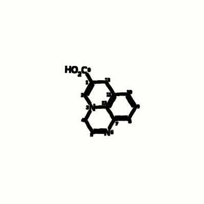 O=C(O)C1=CN2CC=Nc3cccc(c32)C1